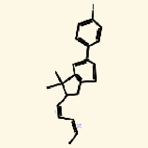 C/C=C\C=C/C1Cc2ccc(-c3ccc(I)cc3)cc2C1(C)C